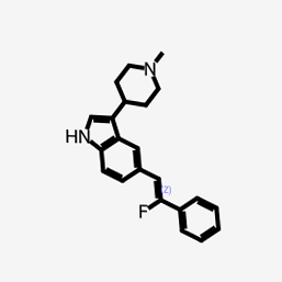 CN1CCC(c2c[nH]c3ccc(/C=C(\F)c4ccccc4)cc23)CC1